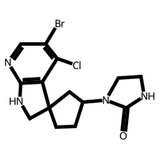 O=C1NCCN1C1CCC2(CNc3ncc(Br)c(Cl)c32)C1